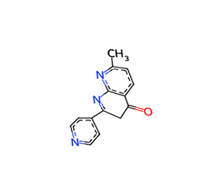 Cc1ccc2c(n1)N=C(c1ccncc1)CC2=O